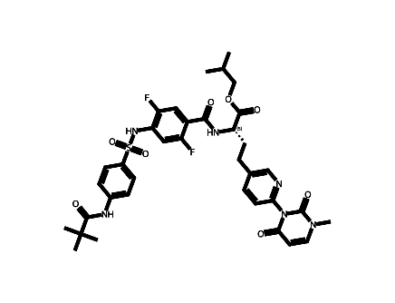 CC(C)COC(=O)[C@H](CCc1ccc(-n2c(=O)ccn(C)c2=O)nc1)NC(=O)c1cc(F)c(NS(=O)(=O)c2ccc(NC(=O)C(C)(C)C)cc2)cc1F